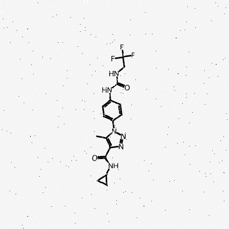 Cc1c(C(=O)NC2CC2)nnn1-c1ccc(NC(=O)NCC(F)(F)F)cc1